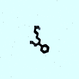 CCON(CSC=C[N+](=O)[O-])c1ccccc1